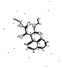 CCOC(=O)C(=O)C(C(=O)OCC)c1cccc2ccccc12